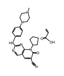 C=CC(=O)O.CN1CCN(c2ccc(Nc3ncc4cc(C#N)c(=O)n(C5CCCC5)c4n3)cc2)CC1